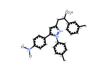 CCN(CC)c1ccc(-c2cc(CC(C(=O)O)c3cccc(C)c3)nn2-c2ccc(C)cc2)cc1